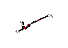 CCCCCCCCCCCCCCCCCCCCCSc1ccc(C=CC(=O)c2cc(OCCCC)cc(OCCCC)c2)cc1